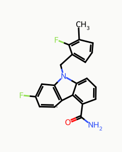 Cc1cccc(Cn2c3cc(F)c[c]c3c3c(C(N)=O)cccc32)c1F